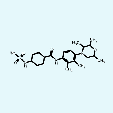 Cc1c(NC(=O)C2CCC(NS(=O)(=O)C(C)C)CC2)ccc(N2CC(C)OC(C)C2C)c1C